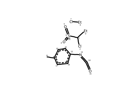 CCC(Cl)[SH](=O)=O.CCCl.Cc1ccc(N=C=O)cc1